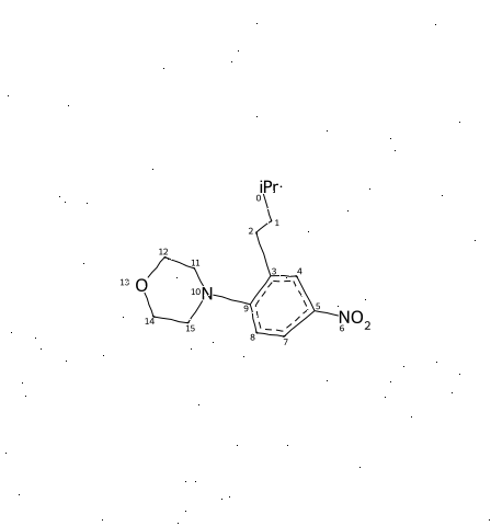 C[C](C)CCc1cc([N+](=O)[O-])ccc1N1CCOCC1